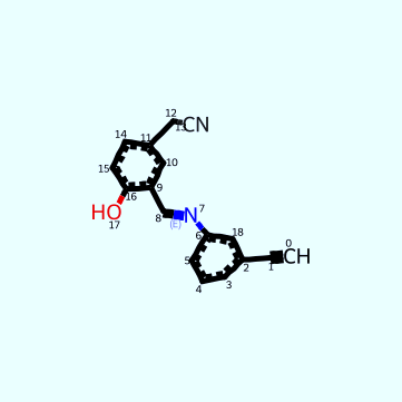 C#Cc1cccc(/N=C/c2cc(CC#N)ccc2O)c1